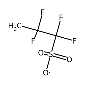 CC(F)(F)C(F)(F)S([O])(=O)=O